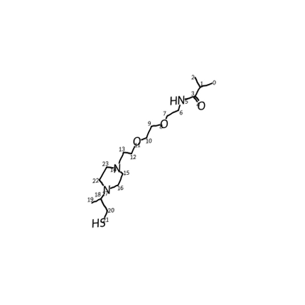 CC(C)C(=O)NCCOCCOCCN1CCN(C(C)CS)CC1